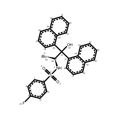 CC[C@H](C)[C@H](NS(=O)(=O)c1ccc(F)cc1)C(O)(c1cccc2ccccc12)c1cccc2ccccc12